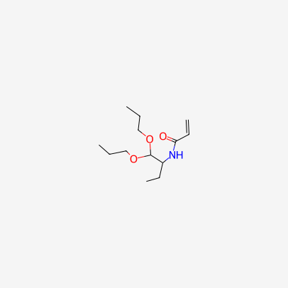 C=CC(=O)NC(CC)C(OCCC)OCCC